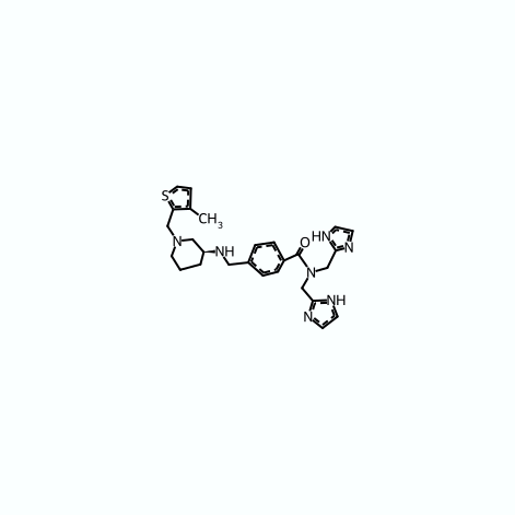 Cc1ccsc1CN1CCC[C@H](NCc2ccc(C(=O)N(Cc3ncc[nH]3)Cc3ncc[nH]3)cc2)C1